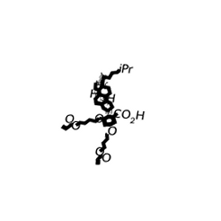 C=CC(=O)OCCCCOc1cc(OCCCCOC(=O)C=C)c([C@H]2CC[C@@]3(C)C(=CC[C@H]4[C@@H]5CC[C@H]([C@H](C)CCCC(C)C)[C@@]5(C)CC[C@@H]43)C2)c(C(=O)O)c1